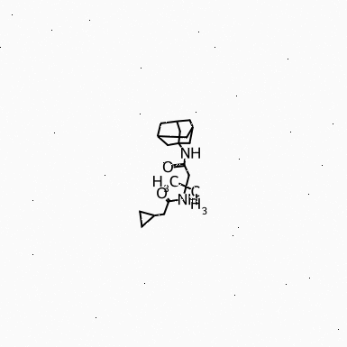 CC(C)(CC(=O)NC12CC3CC(CC(C3)C1)C2)NC(=O)CC1CC1